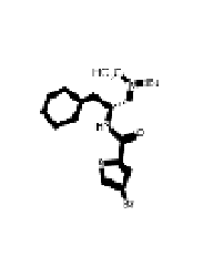 CC(C)(C)N(C[C@@H](CC1CCCCC1)NC(=O)c1cc(Br)cs1)C(=O)O